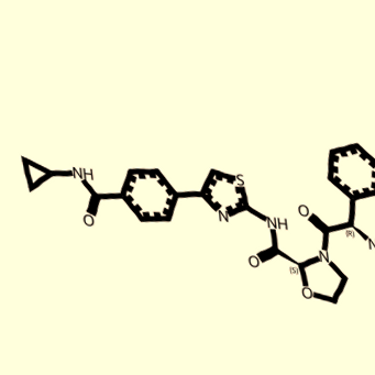 N[C@@H](C(=O)N1CCO[C@H]1C(=O)Nc1nc(-c2ccc(C(=O)NC3CC3)cc2)cs1)c1ccccc1